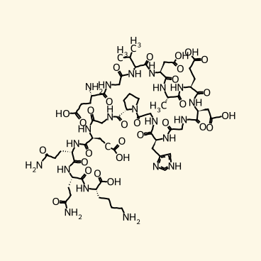 CC(C)[C@H](NC(=O)CNC(=O)[C@@H](N)CCC(=O)O)C(=O)N[C@@H](CC(=O)O)C(=O)N[C@@H](C)C(=O)N[C@@H](CCC(=O)O)C(=O)N[C@@H](CC(=O)O)C(=O)NCC(=O)N[C@@H](Cc1c[nH]cn1)C(=O)NCC(=O)N1CCC[C@H]1C(=O)NCC(=O)N[C@@H](CCC(=O)O)C(=O)N[C@@H](CCC(N)=O)C(=O)N[C@@H](CCC(N)=O)C(=O)N[C@@H](CCCCN)C(=O)O